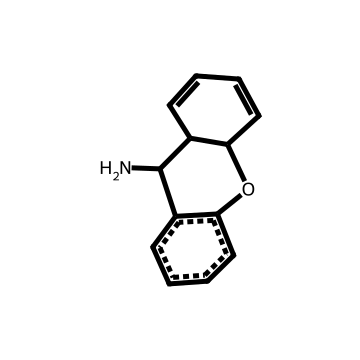 NC1c2ccccc2OC2C=CC=CC21